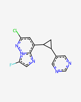 Fc1cnc2c(C3CC3c3cncnc3)cc(Cl)nn12